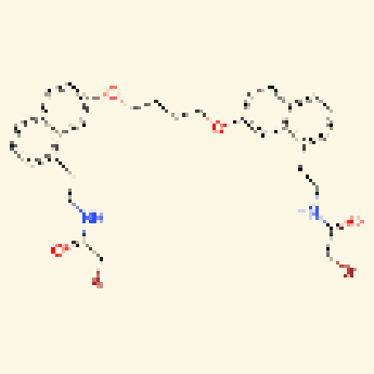 O=C(CBr)NCCc1cccc2ccc(OCCCCOc3ccc4cccc(CCNC(=O)CBr)c4c3)cc12